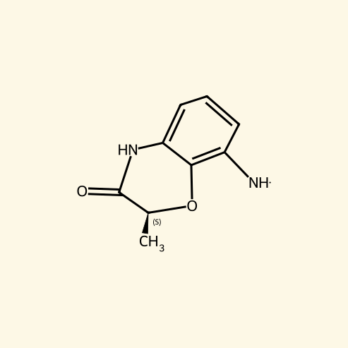 C[C@@H]1Oc2c([NH])cccc2NC1=O